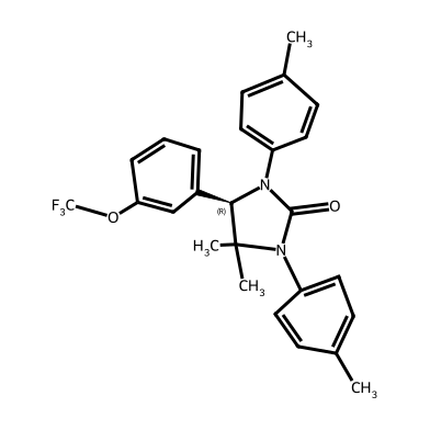 Cc1ccc(N2C(=O)N(c3ccc(C)cc3)C(C)(C)[C@H]2c2cccc(OC(F)(F)F)c2)cc1